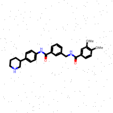 COc1ccc(C(=O)NCc2cccc(C(=O)Nc3ccc(C4CCCNC4)cc3)c2)cc1OC